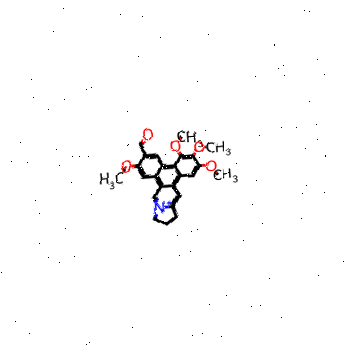 COc1cc2c3c[n+]4c(cc3c3cc(OC)c(OC)c(OC)c3c2cc1C=O)CCC4